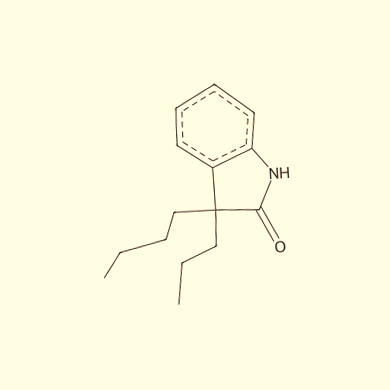 CCCCC1(CCC)C(=O)Nc2ccccc21